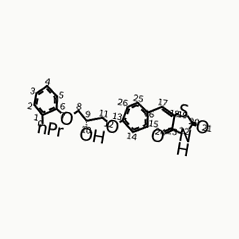 CCCc1ccccc1OC[C@@H](O)COc1ccc(C=C2SC(=O)NC2=O)cc1